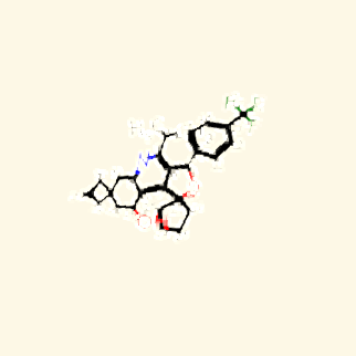 CC(C)c1nc2c(c3c1[C@@H](c1ccc(C(F)(F)F)cc1)OC31CCCC1)C(O)CC1(CCC1)C2